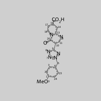 COc1ccc(Cn2nnc(-c3cnc4cc(C(=O)O)ccn4c3=O)n2)cc1